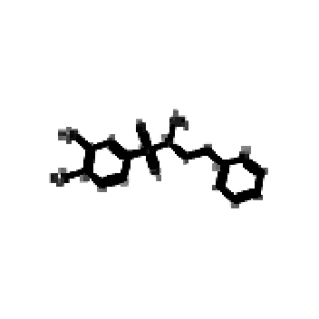 Cc1cc(S(=O)(=O)N(C)CCc2ccccn2)ccc1N